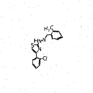 Cc1ccccc1/C=N/Nc1nc(-c2ccccc2Cl)cs1